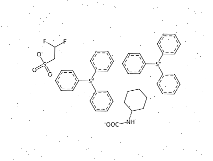 O=C([O-])NC1CCCCC1.O=S(=O)([O-])CC(F)F.c1ccc([S+](c2ccccc2)c2ccccc2)cc1.c1ccc([S+](c2ccccc2)c2ccccc2)cc1